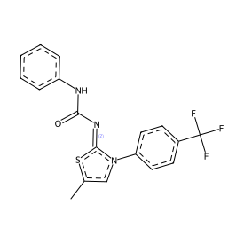 Cc1cn(-c2ccc(C(F)(F)F)cc2)/c(=N/C(=O)Nc2ccccc2)s1